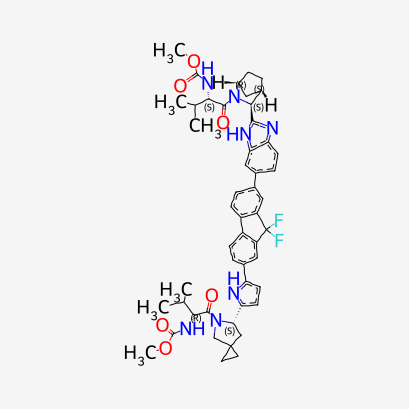 COC(=O)N[C@H](C(=O)N1[C@@H]2CC[C@@H](C2)[C@H]1c1nc2ccc(-c3ccc4c(c3)C(F)(F)c3cc(-c5ccc([C@@H]6CC7(CC7)CN6C(=O)[C@H](NC(=O)OC)C(C)C)[nH]5)ccc3-4)cc2[nH]1)C(C)C